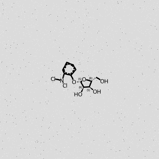 OC[C@H]1O[C@@H](Oc2ccccc2N(Cl)Cl)[C@H](O)[C@@H]1O